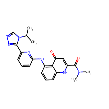 CC(C)n1cnnc1-c1cccc(Nc2cccc3[nH]c(C(=O)N(C)C)cc(=O)c23)n1